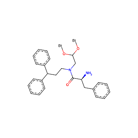 CCOC(CN(CCC(c1ccccc1)c1ccccc1)C(=O)[C@@H](N)Cc1ccccc1)OCC